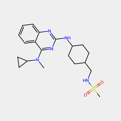 CN(c1nc(NC2CCC(CNS(C)(=O)=O)CC2)nc2ccccc12)C1CC1